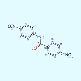 O=C(Nc1ccc([N+](=O)[O-])cc1)c1ccc([N+](=O)[O-])cn1